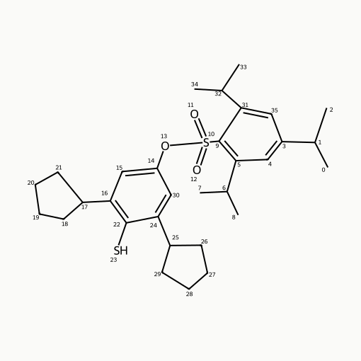 CC(C)c1cc(C(C)C)c(S(=O)(=O)Oc2cc(C3CCCC3)c(S)c(C3CCCC3)c2)c(C(C)C)c1